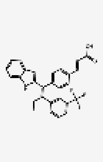 CC/C(=C(/c1ccc(/C=C/C(=O)O)cc1)c1cc2ccccc2[nH]1)c1cccc(C(F)(F)F)c1